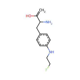 C=C(O)C(N)Cc1ccc(NCCF)cc1